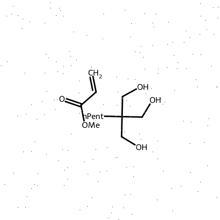 C=CC(=O)OC.CCCCCC(CO)(CO)CO